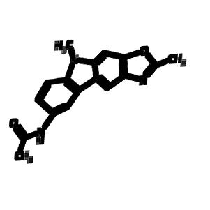 CC(=O)Nc1ccc2c(c1)c1cc3nc(C)oc3cc1n2C